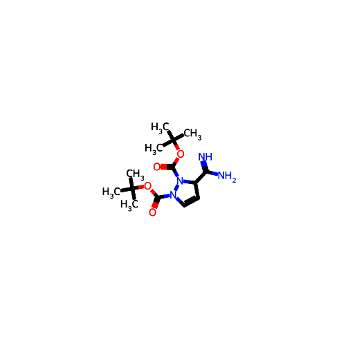 CC(C)(C)OC(=O)N1C=CC(C(=N)N)N1C(=O)OC(C)(C)C